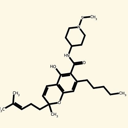 CCCCCc1cc2c(c(O)c1C(=O)NC1CCN(SC)CC1)C=CC(C)(CCC=C(C)C)O2